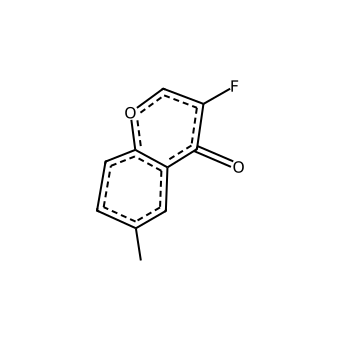 Cc1ccc2occ(F)c(=O)c2c1